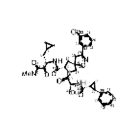 CNC(=O)C(=O)[C@H](CC1CC1)NC(=O)[C@@H]1C[C@]2(CC(c3cccc(Cl)c3)=NO2)CN1C(=O)[C@@H](NC(=O)[C@@H]1C[C@H]1c1cccnc1)C(C)(C)C